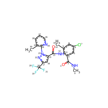 CNC(=O)c1cc(Cl)cc(C)c1NC(=O)c1cc(C(F)(F)F)nn1-c1ncccc1C